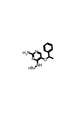 CCCCNc1nc(N)ncc1OC(C)c1ccccc1